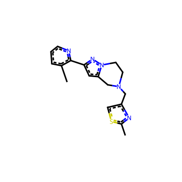 Cc1nc(CN2CCn3nc(-c4ncccc4C)cc3C2)cs1